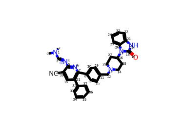 CN(C)/C=N/c1nc(-c2ccc(CN3CCC(n4c(=O)[nH]c5ccccc54)CC3)cc2)c(-c2ccccc2)cc1C#N